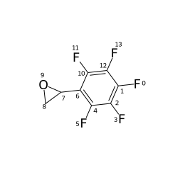 Fc1c(F)c(F)c(C2CO2)c(F)c1F